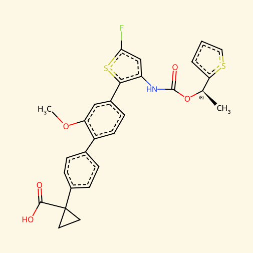 COc1cc(-c2sc(F)cc2NC(=O)O[C@H](C)c2cccs2)ccc1-c1ccc(C2(C(=O)O)CC2)cc1